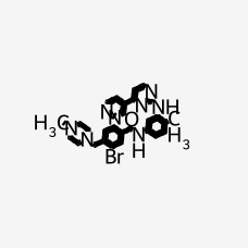 Cc1ccc(NC(=O)c2ccc(CN3CCN(C)CC3)c(Br)c2)cc1Nc1nccc(-c2ccnnc2)n1